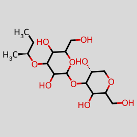 CC[C@H](C)OC1C(O)C(CO)OC(OC2C(O)C(CO)OC[C@H]2O)C1O